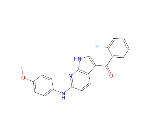 COc1ccc(Nc2ccc3c(C(=O)c4ccccc4F)c[nH]c3n2)cc1